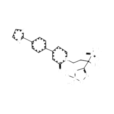 CC(CCn1ccc(-c2ccc(-c3nccs3)cc2)cc1=O)(C1=NO[B-](O)(O)O1)S(C)(=O)=O